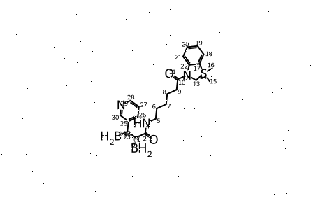 B[C@@H](C(=O)NCCCCCC(=O)N1CS(C)(C)c2ccccc21)[C@@H](B)c1cccnc1